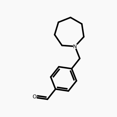 O=Cc1ccc(CN2CCCCCC2)cc1